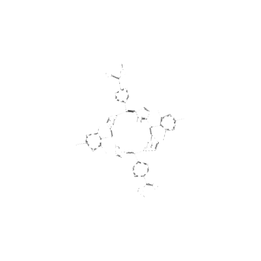 COC(=O)c1ccc(C2=C3C=CC(=N3)C(c3c(C)cc(C)cc3C)=C3C=CC(=N3)C(c3ccc(C(=O)OC)cc3)=C3C=CC(=N3)C(c3c(C)cc(C)cc3C)=C3C=CC2=N3)cc1